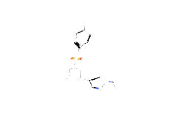 COCn1cc([C@@H]2CN(S(=O)(=O)c3ccc(C)cc3)C[C@H](C)O2)cn1